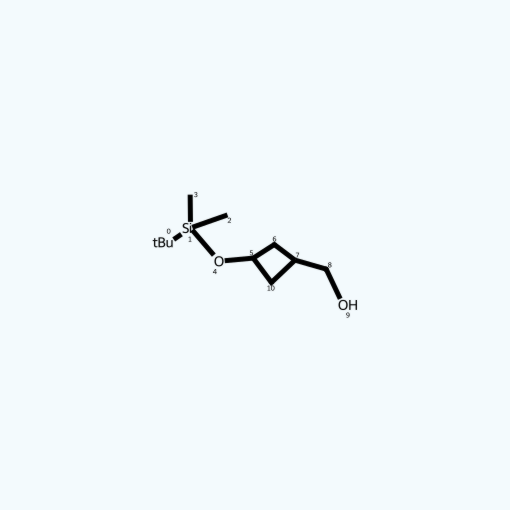 CC(C)(C)[Si](C)(C)OC1CC(CO)C1